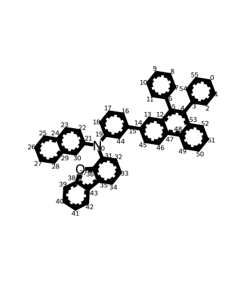 c1ccc(-c2c(-c3ccccc3)c3cc(-c4cccc(N(c5ccc6ccccc6c5)c5cccc6c5oc5ccccc56)c4)ccc3c3ccccc23)cc1